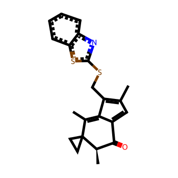 CC1=C(CSc2nc3ccccc3s2)C2=C(C)C3(CC3)[C@H](C)C(=O)C2=C1